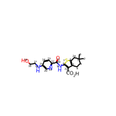 CC1(C)CCc2c(sc(NC(=O)c3ccc(NCCO)cn3)c2C(=O)O)C1